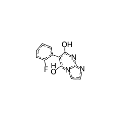 Oc1nc2nccn2c(O)c1-c1ccccc1F